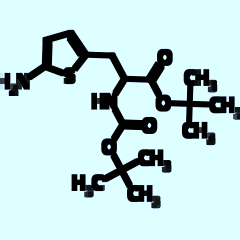 CC(C)(C)OC(=O)NC(Cc1ccc(N)s1)C(=O)OC(C)(C)C